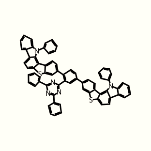 c1ccc(-c2nc(-c3ccccc3)nc(-c3cc(-c4ccc5c(c4)sc4ccc6c7ccccc7n(-c7ccccc7)c6c45)ccc3-c3ccc4c(c3)sc3ccc5c6ccccc6n(-c6ccccc6)c5c34)n2)cc1